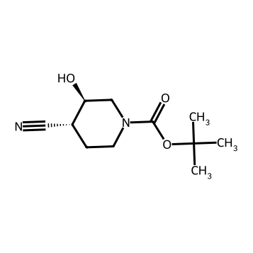 CC(C)(C)OC(=O)N1CC[C@H](C#N)[C@@H](O)C1